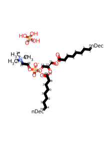 CCCCCCCCCCCCCCCCCC(=O)OC[C@H](COP(=O)([O-])OCC[N+](C)(C)C)OC(=O)CCCCCCCCCCCCCCCCC.O=P(O)(O)O